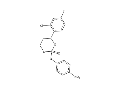 O=[N+]([O-])c1ccc(OP2(=O)OCCC(c3ccc(F)cc3Cl)O2)cc1